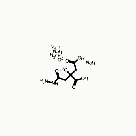 NNC(=O)CC(O)(CC(=O)O)C(=O)O.O.O.[NaH].[NaH].[NaH]